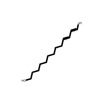 CCC/C=C/C=C/CCCCCCCCCO